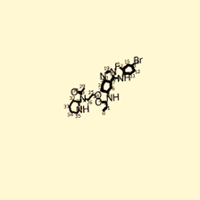 C=CC(=O)Nc1cc2c(Nc3ccc(Br)cc3F)ncnc2cc1OCCN(C(C)=O)C1CCCCN1